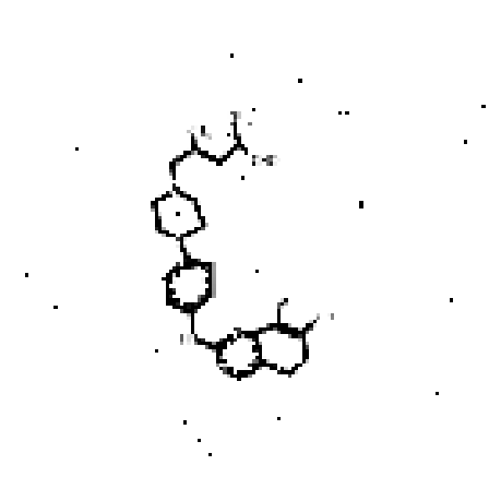 CC(CC(N)C=O)CN1CCN(c2ccc(Nc3ncc4c(n3)C(C(C)C)=C(O)CC4)cc2)CC1